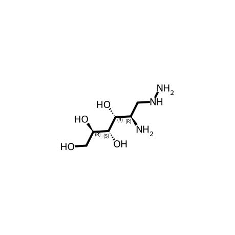 NNC[C@@H](N)[C@@H](O)[C@H](O)[C@H](O)CO